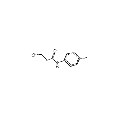 Cc1ccc(NC(=O)CC[O])cc1